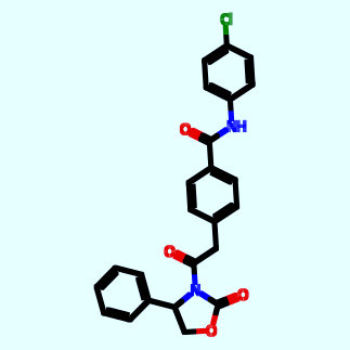 O=C(Nc1ccc(Cl)cc1)c1ccc(CC(=O)N2C(=O)OCC2c2ccccc2)cc1